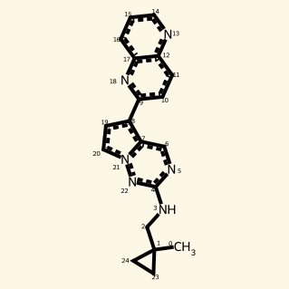 CC1(CNc2ncc3c(-c4ccc5ncccc5n4)ccn3n2)CC1